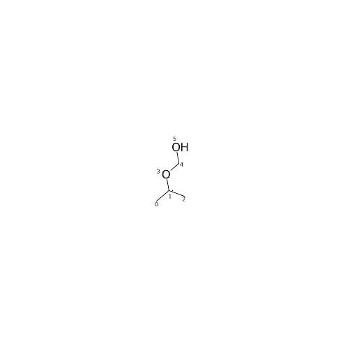 C[C](C)OCO